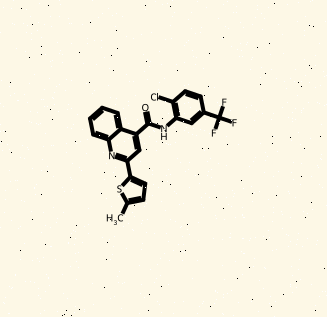 Cc1ccc(-c2cc(C(=O)Nc3cc(C(F)(F)F)ccc3Cl)c3ccccc3n2)s1